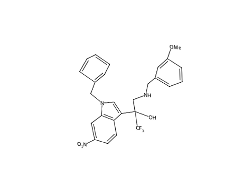 COc1cccc(CNCC(O)(c2cn(Cc3ccccc3)c3cc([N+](=O)[O-])ccc23)C(F)(F)F)c1